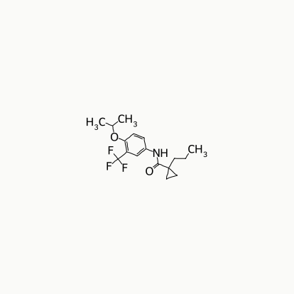 CCCC1(C(=O)Nc2ccc(OC(C)C)c(C(F)(F)F)c2)CC1